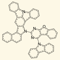 c1ccc2c(c1)ccc1c2c2cc3c4ccccc4n4c5ccccc5c(c2n1-c1nc(-n2c5ccccc5c5ccccc52)c2c(n1)oc1ccccc12)c34